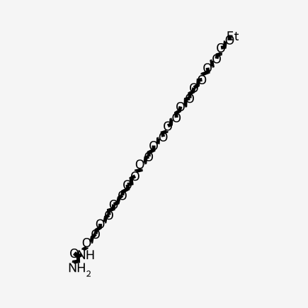 CCOCCOCCOCCOCCOCCOCCOCCOCCOCCOCCOCCOCCOCCOCCOCCOCCOCCOCCOCCOCCOCCOCCNC(=O)CCN